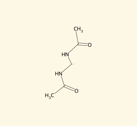 CC(=O)N[CH]NC(C)=O